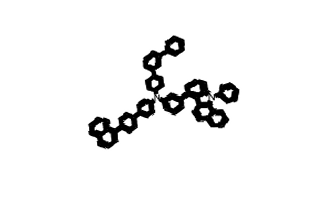 c1ccc(-c2cccc(-c3ccc(N(c4ccc(-c5ccc(-c6cccc7ccccc67)cc5)cc4)c4cccc(-c5cccc6c5c5ccc7ccccc7c5n6-c5ccccc5)c4)cc3)c2)cc1